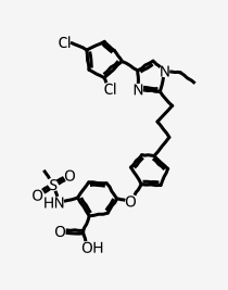 CCn1cc(-c2ccc(Cl)cc2Cl)nc1CCCc1ccc(Oc2ccc(NS(C)(=O)=O)c(C(=O)O)c2)cc1